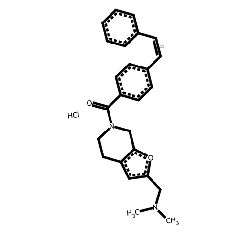 CN(C)Cc1cc2c(o1)CN(C(=O)c1ccc(/C=C\c3ccccc3)cc1)CC2.Cl